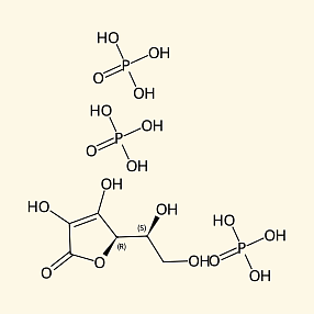 O=C1O[C@H]([C@@H](O)CO)C(O)=C1O.O=P(O)(O)O.O=P(O)(O)O.O=P(O)(O)O